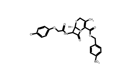 CC1=C(C(=O)OCc2ccc([N+](=O)[O-])cc2)N2C(=O)C(NC(=O)COc3ccc(Cl)cc3)[C@H]2SC1